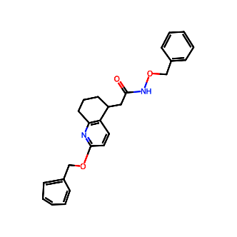 O=C(CC1CCCc2nc(OCc3ccccc3)ccc21)NOCc1ccccc1